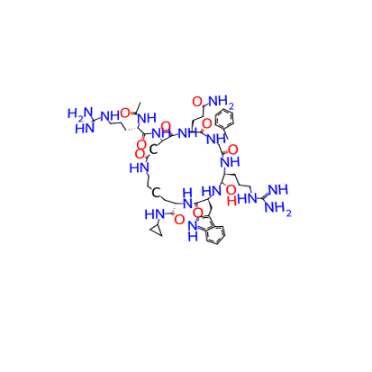 CC(=O)N[C@@H](CCCNC(=N)N)C(=O)N[C@H]1CC(=O)NCCCC[C@@H](C(=O)NC2CC2)NC(=O)[C@H](Cc2c[nH]c3ccccc23)NC(O)[C@H](CCCNC(=N)N)NC(=O)[C@@H](Cc2ccccc2)NC(=O)[C@H](CCC(N)=O)NC1=O